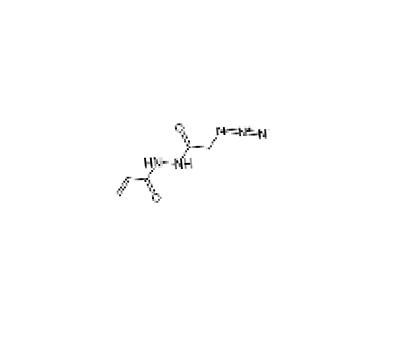 C=CC(=O)NNC(=O)CN=[N+]=[N-]